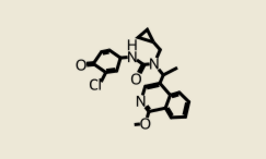 COc1ncc(C(C)N(CC2CC2)C(=O)NC2C=CC(=O)C(Cl)=C2)c2ccccc12